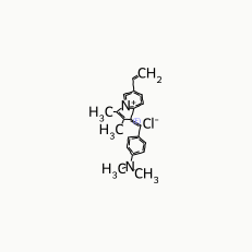 C=Cc1ccc2[n+](c1)C(C)=C(C)/C2=C\c1ccc(N(C)C)cc1.[Cl-]